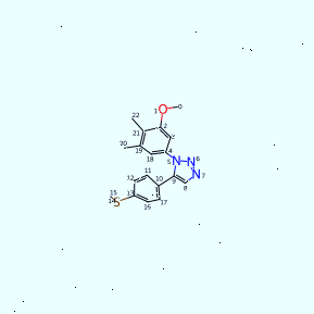 COc1cc(-n2nncc2-c2ccc(SC)cc2)cc(C)c1C